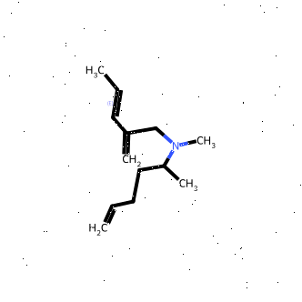 C=CCCC(C)N(C)CC(=C)/C=C/C